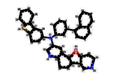 c1cc(-c2cccc3ccccc23)cc(N(c2ccc3sc4ccccc4c3c2)c2cnc3ccc4c5cnccc5oc4c3c2)c1